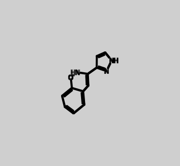 C1=C(c2cc[nH]n2)NOc2ccccc21